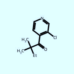 CCC(C)(C)C(=O)c1ccncc1Cl